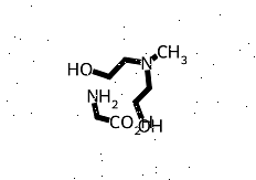 CN(CCO)CCO.NCC(=O)O